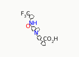 O=C(NCC1=CCCC(C(F)(F)F)=C1)c1ccc2c(c1)CCCN2Cc1ccc(-c2ccccc2C(=O)O)cc1